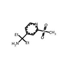 CCC(N)(CC)c1ccnc(S(C)(=O)=O)c1